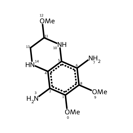 COc1c(N)c2c(c(N)c1OC)NC(OC)CN2